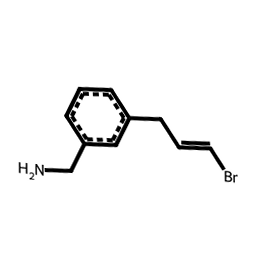 NCc1cccc(C/C=C/Br)c1